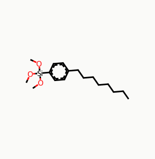 CCCCCCCCc1ccc([Si](OC)(OC)OC)cc1